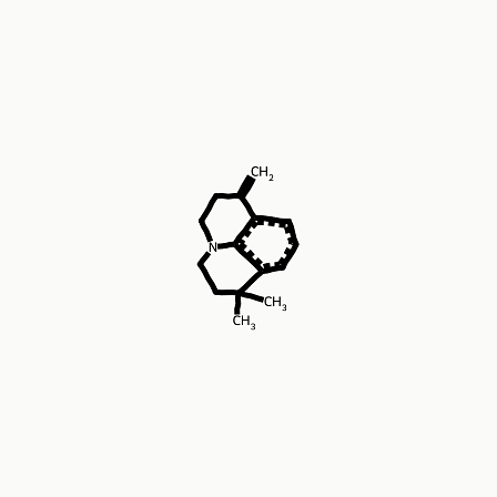 C=C1CCN2CCC(C)(C)c3cccc1c32